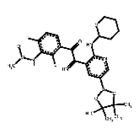 C[S+]([O-])Nc1c(F)ccc(C(=O)C(=N)c2cc(B3OC(C)(C)C(C)(C)O3)cnc2NC2CCCCO2)c1F